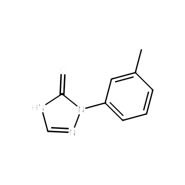 Cc1cccc(-n2nc[nH]c2=O)c1